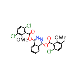 COc1c(C)ccc(Cl)c1C(=O)Oc1nnc(OC(=O)c2c(Cl)ccc(Cl)c2OC)c2ccccc12